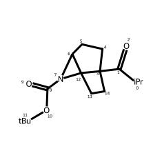 CC(C)C(=O)C12CCC3N(C(=O)OC(C)(C)C)C31CC2